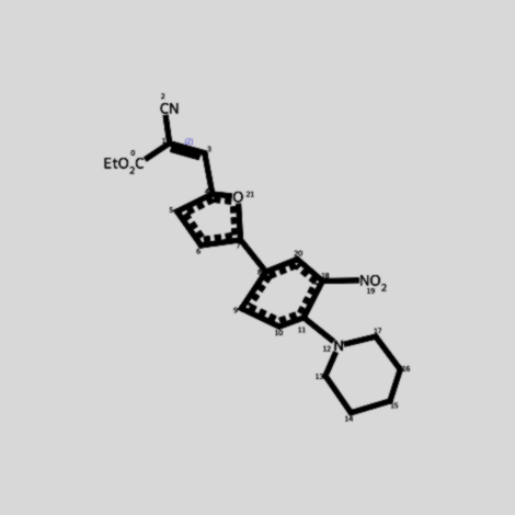 CCOC(=O)/C(C#N)=C\c1ccc(-c2ccc(N3CCCCC3)c([N+](=O)[O-])c2)o1